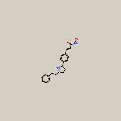 O=C(/C=C/c1ccc(C2CCC(CCc3ccccc3)N2)cc1)NO